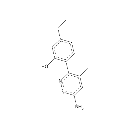 CCc1ccc(-c2nnc(N)cc2C)c(O)c1